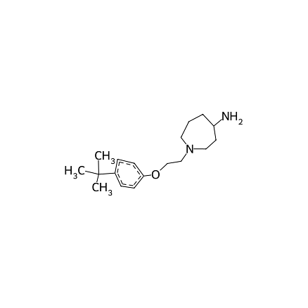 CC(C)(C)c1ccc(OCCN2CCCC(N)CC2)cc1